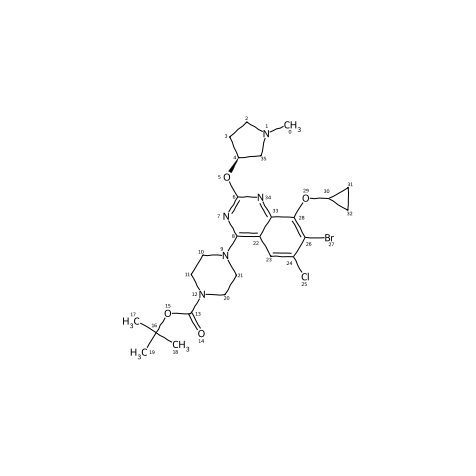 CN1CC[C@H](Oc2nc(N3CCN(C(=O)OC(C)(C)C)CC3)c3cc(Cl)c(Br)c(OC4CC4)c3n2)C1